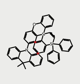 CC1(C)c2ccccc2N(c2ccc3c(c2)[Si]2(c4ccccc4O3)c3ccccc3[Si](c3ccccc3)(c3ccccc3)c3ccccc32)c2ccccc21